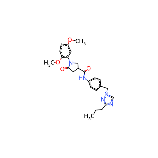 CCCc1ncn(Cc2ccc(NC(=O)C3CC(=O)N(c4cc(OC)ccc4OC)C3)cc2)n1